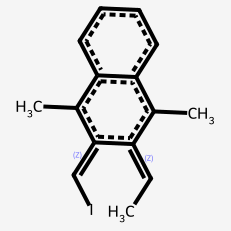 C/C=c1/c(C)c2ccccc2c(C)/c1=C/I